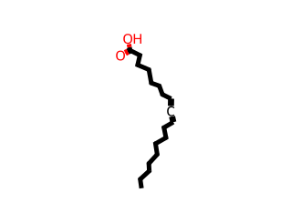 CCCCCCCCC=C=CCCCCCCC(=O)O